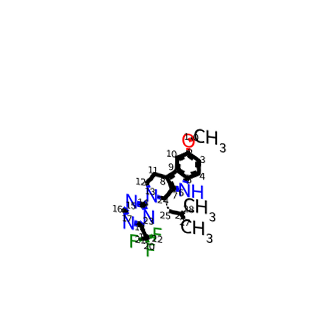 COc1ccc2[nH]c3c(c2c1)CCN(c1ncnc(C(F)(F)F)n1)[C@H]3CC(C)C